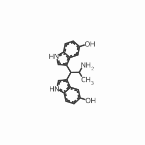 CC(N)C(c1c[nH]c2ccc(O)cc12)c1c[nH]c2ccc(O)cc12